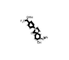 CO[C@H](c1ccc(N2CC[C@@]3(CC[C@@H](O)[C@H](OC(C)C)C3)C2=O)cc1)C(F)(F)F